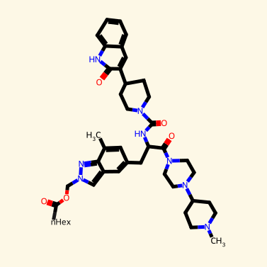 CCCCCCC(=O)OCn1cc2cc(CC(NC(=O)N3CCC(c4cc5ccccc5[nH]c4=O)CC3)C(=O)N3CCN(C4CCN(C)CC4)CC3)cc(C)c2n1